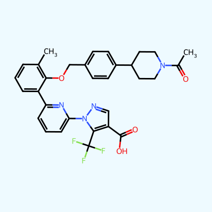 CC(=O)N1CCC(c2ccc(COc3c(C)cccc3-c3cccc(-n4ncc(C(=O)O)c4C(F)(F)F)n3)cc2)CC1